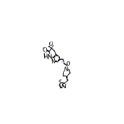 O=C(/C=C/c1cnc2c(c1)CC1(COC1)C(=O)N2)N1CCC(=Cc2nccs2)CC1